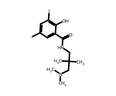 CN(C)CC(C)(C)CNC(=O)c1cc(I)cc(I)c1O